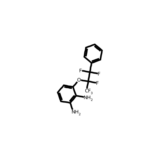 Nc1cccc(OC(F)(C(F)(F)F)C(F)(F)c2ccccc2)c1N